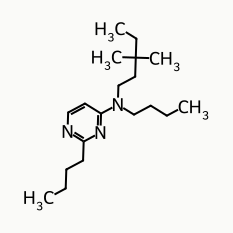 CCCCc1nccc(N(CCCC)CCC(C)(C)CC)n1